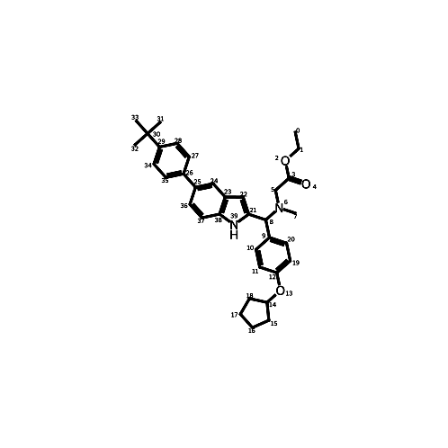 CCOC(=O)CN(C)C(c1ccc(OC2CCCC2)cc1)c1cc2cc(-c3ccc(C(C)(C)C)cc3)ccc2[nH]1